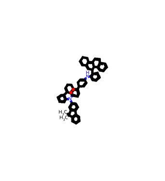 CC1(C)c2ccccc2-c2ccc(N(c3ccc(C4C=CC(Nc5ccccc5C5C=C6C=CCCC6=C6C=Cc7ccccc7C65)=CC4)cc3)c3ccccc3C3=CCCC=C3)cc21